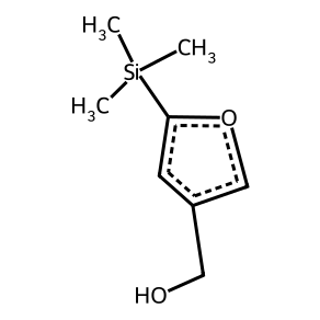 C[Si](C)(C)c1cc(CO)co1